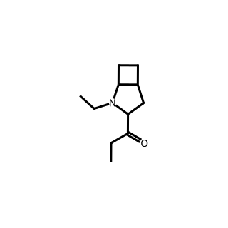 CCC(=O)C1CC2CCC2N1CC